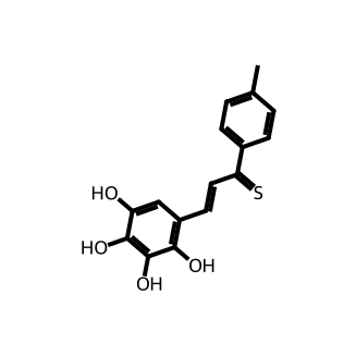 Cc1ccc(C(=S)C=Cc2cc(O)c(O)c(O)c2O)cc1